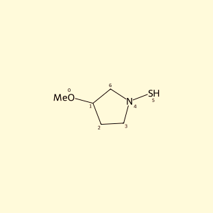 COC1CCN(S)C1